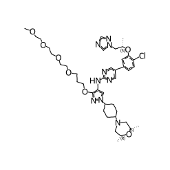 COCCOCCOCCOCCCOc1nn(C2CCC(N3C[C@@H](C)O[C@@H](C)C3)CC2)cc1Nc1ncc(-c2ccc(Cl)c(O[C@@H](C)Cn3cncn3)c2)cn1